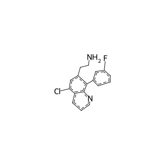 NCCc1cc(Cl)c2cccnc2c1-c1cccc(F)c1